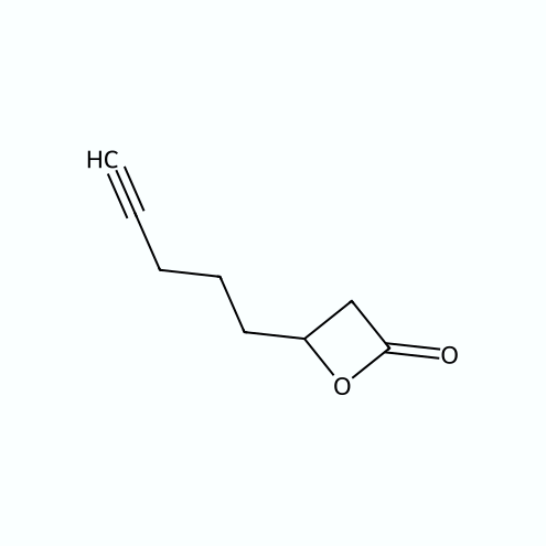 C#CCCCC1CC(=O)O1